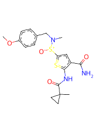 COc1ccc(CN(C)[S+]([O-])c2cc(C(N)=O)c(NC(=O)C3(C)CC3)s2)cc1